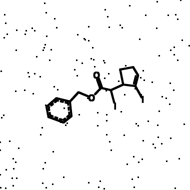 O=C(OCc1ccccc1)C(I)C1CCC=C1I